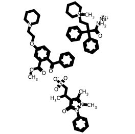 COC(=O)c1cc(OCCN2CCCCC2)ccc1C(=O)c1ccccc1.C[N+]1(CCC(C(N)=O)(c2ccccc2)c2ccccc2)CCCCC1.Cc1c(C(C)CS(=O)(=O)[O-])c(=O)n(-c2ccccc2)n1C.[Br-].[Na+]